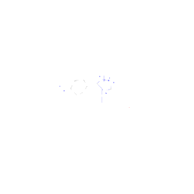 CN(C)c1ccc(-c2nnc(SCC(=O)O)[nH]2)cc1